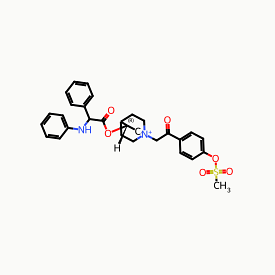 CS(=O)(=O)Oc1ccc(C(=O)C[N+]23CCC(CC2)[C@@H](OC(=O)C(Nc2ccccc2)c2ccccc2)C3)cc1